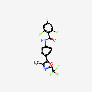 Cc1nc(C(F)(F)F)oc1-c1ccc(NC(=O)c2c(F)cc(F)cc2F)cc1